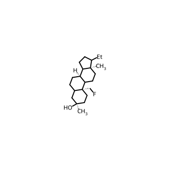 CCC1CCC2[C@@H]3CCC4C[C@](C)(O)CC[C@]4(CF)C3CC[C@]12C